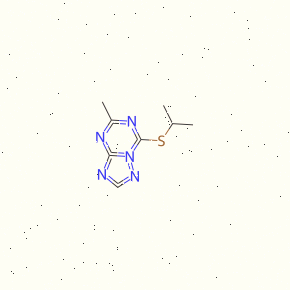 Cc1nc(SC(C)C)n2ncnc2n1